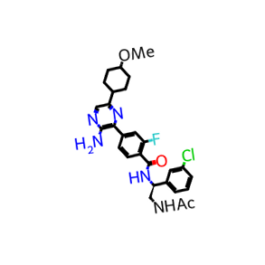 COC1CCC(c2cnc(N)c(-c3ccc(C(=O)N[C@H](CNC(C)=O)c4cccc(Cl)c4)c(F)c3)n2)CC1